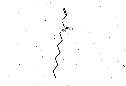 C=CO[PH](=O)CCCCCCCC